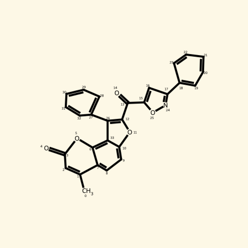 Cc1cc(=O)oc2c1ccc1oc(C(=O)c3cc(-c4ccccc4)no3)c(-c3ccccc3)c12